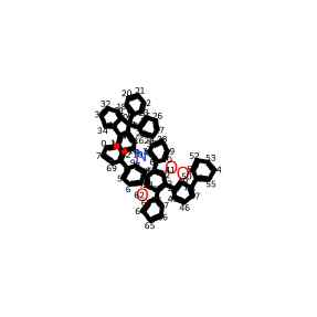 c1ccc(-c2ccccc2N(c2ccc3c(c2)C(c2ccccc2)(c2ccccc2)c2ccccc2-3)c2cccc3oc4c(-c5cccc6c5oc5ccccc56)c5c(cc4c23)oc2ccccc25)cc1